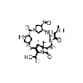 CNCC(=O)N[C@H](C)[C@H]1C(=O)N2C(C(=O)O)=C(S[C@@H]3CN[C@H](C(=O)N4CC(N=O)[C@H](N)C4)C3)[C@H](C)[C@H]12